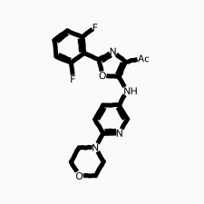 CC(=O)c1nc(-c2c(F)cccc2F)oc1Nc1ccc(N2CCOCC2)nc1